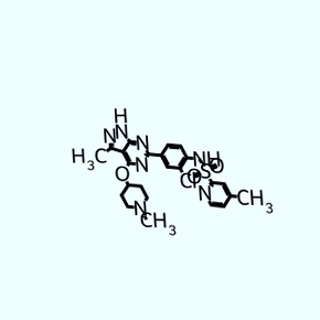 Cc1ccnc(S(=O)(=O)Nc2ccc(-c3nc(OC4CCN(C)CC4)c4c(C)n[nH]c4n3)cc2Cl)c1